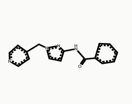 O=C(Nc1ccn(Cc2ccncc2)n1)c1ccccc1